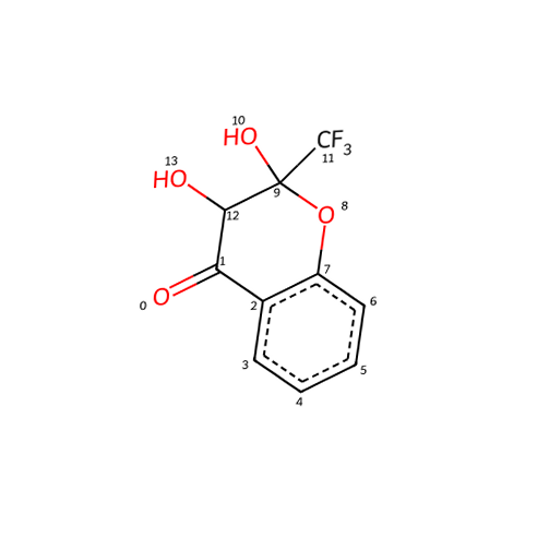 O=C1c2ccccc2OC(O)(C(F)(F)F)C1O